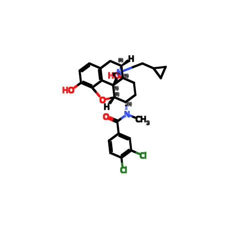 CN(C(=O)c1ccc(Cl)c(Cl)c1)[C@H]1CC[C@@]2(O)[C@H]3Cc4ccc(O)c5c4[C@@]2(CCN3CC2CC2)[C@H]1O5